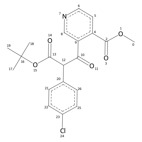 COC(=O)c1ccncc1C(=O)C(C(=O)OC(C)(C)C)c1ccc(Cl)cc1